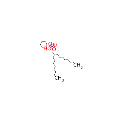 CCCCCCCCC(CCCCCCCC)COP(=O)(O)OC1CCCCC1